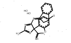 Cl.Cl.N=C(N)C1(c2ccc(Cl)cc2Cl)N=C(N)N=C1N=C1CCc2ccccc21